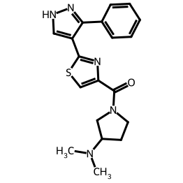 CN(C)C1CCN(C(=O)c2csc(-c3c[nH]nc3-c3ccccc3)n2)C1